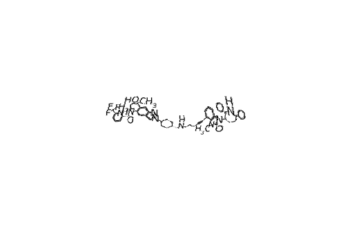 Cn1c(=O)n(C2CCC(=O)NC2=O)c2cccc(C#CCCCNC[C@H]3CC[C@H](n4cc5cc(NC(=O)c6cccc(C(F)(F)F)n6)c(C(C)(C)O)cc5n4)CC3)c21